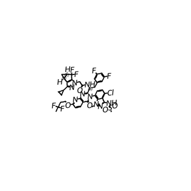 Cn1nc(NS(C)(=O)=O)c2c(Cl)ccc(-n3c([C@H](Cc4cc(F)cc(F)c4)NC(=O)Cn4nc(C5CC5)c5c4C(F)(F)[C@@H]4C[C@H]54)nc4nc(OCCC(C)(F)F)ccc4c3=O)c21